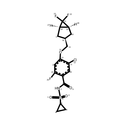 O=C(NS(=O)(=O)C1CC1)c1cc(Cl)c(OC[C@H]2C[C@@H]3[C@H](C2)C3(F)F)cc1F